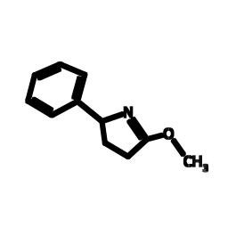 COC1=NC(c2ccccc2)CC1